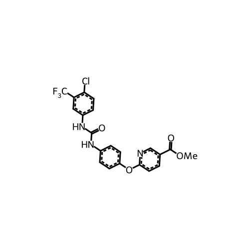 COC(=O)c1ccc(Oc2ccc(NC(=O)Nc3ccc(Cl)c(C(F)(F)F)c3)cc2)nc1